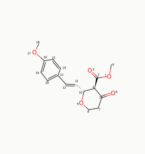 COC(=O)[C@H]1C(=O)CCO[C@@H]1/C=C/c1ccc(OC)cc1